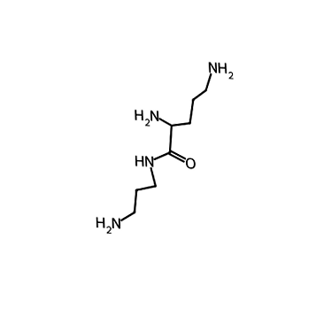 NCCCNC(=O)C(N)CCCN